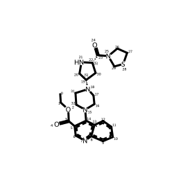 CCOC(=O)c1cnc2ccccc2c1N1CCN([C@@H]2CN[C@H](C(=O)N3CCSC3)C2)CC1